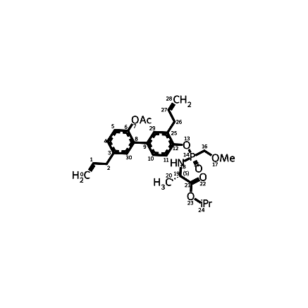 C=CCc1ccc(OC(C)=O)c(-c2ccc(OP(=O)(COC)N[C@@H](C)C(=O)OC(C)C)c(CC=C)c2)c1